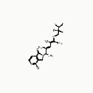 CC(/C=C(\N)C(C)N1Cc2c(ccnc2Cl)C1=O)=C(/N)OCC(F)(F)C(F)F